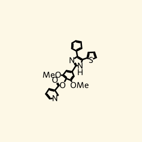 COc1cc(-c2nc(-c3ccccc3)c(-c3cccs3)[nH]2)cc(OC)c1OC(=O)c1cccnc1